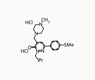 CSc1ccc(-c2cc(CN3CCN(C)CC3)c(=O)n(CC(C)C)n2)cc1.Cl.Cl